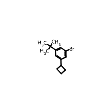 CC(C)(C)c1cc(Br)cc(C2CCC2)c1